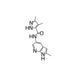 Cc1cc2cc(NC(=O)c3[nH]nc(C)c3C)cnc2[nH]1